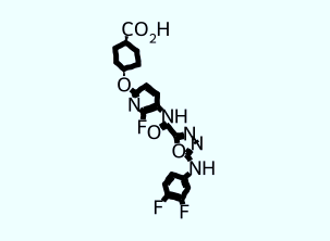 O=C(Nc1ccc(O[C@H]2CC[C@H](C(=O)O)CC2)nc1F)c1nnc(Nc2ccc(F)c(F)c2)o1